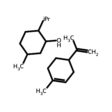 C=C(C)C1CC=C(C)CC1.CC1CCC(C(C)C)C(O)C1